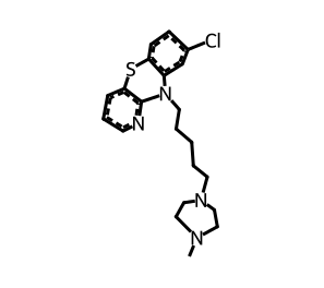 CN1CCN(CCCCCN2c3cc(Cl)ccc3Sc3cccnc32)CC1